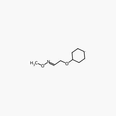 CON=CCOC1CC[CH]CC1